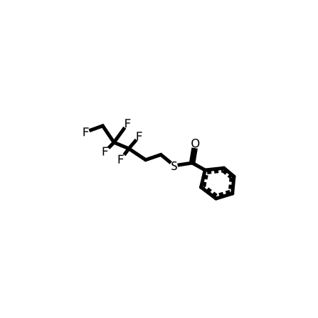 O=C(SCCC(F)(F)C(F)(F)CF)c1ccccc1